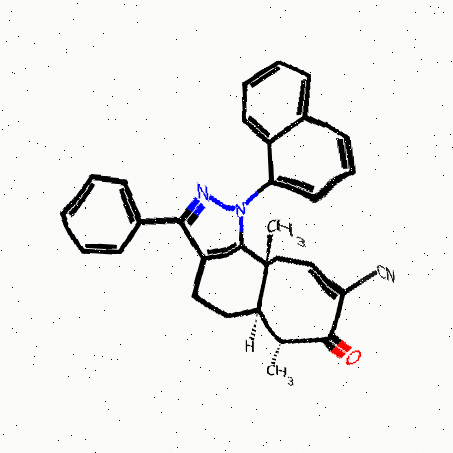 C[C@H]1C(=O)C(C#N)=C[C@@]2(C)c3c(c(-c4ccccc4)nn3-c3cccc4ccccc34)CC[C@H]12